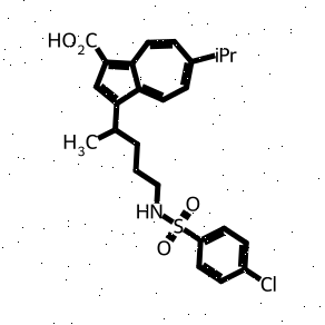 CC(C)c1ccc2c(C(=O)O)cc(C(C)CCCNS(=O)(=O)c3ccc(Cl)cc3)c-2cc1